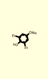 CCc1cc(OC)cc(CC)c1O